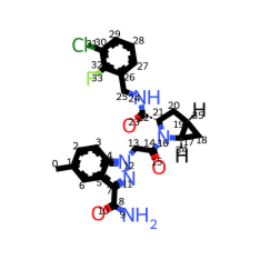 Cc1ccc2c(c1)c(C(N)=O)nn2CC(=O)N1[C@@H]2C[C@@H]2C[C@H]1C(=O)NCc1cccc(Cl)c1F